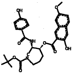 COc1ccc2cc(O)c(C(=O)O[C@@H]3CCCN(C(=O)OC(C)(C)C)C[C@H]3NC(=O)c3ccc(O)cc3)cc2c1